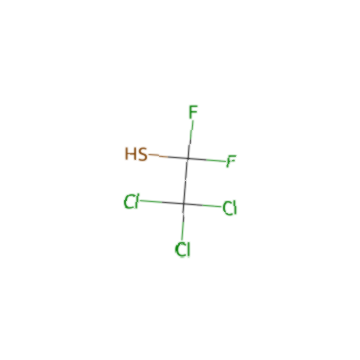 FC(F)(S)C(Cl)(Cl)Cl